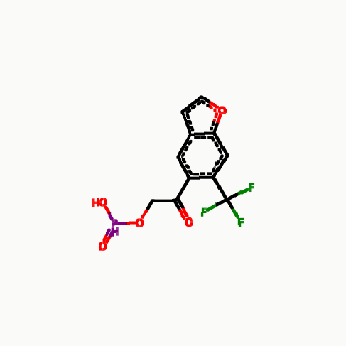 O=C(CO[PH](=O)O)c1cc2ccoc2cc1C(F)(F)F